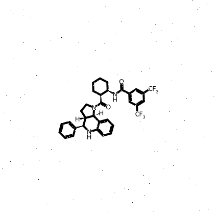 O=C(N[C@@H]1CCCC[C@@H]1C(=O)N1CC[C@H]2[C@H](c3ccccc3)Nc3ccccc3[C@@H]21)c1cc(C(F)(F)F)cc(C(F)(F)F)c1